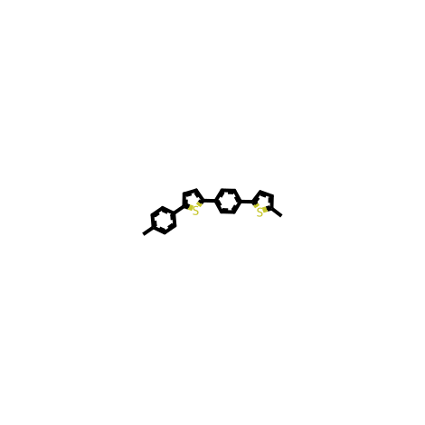 Cc1ccc(-c2ccc(-c3ccc(-c4ccc(C)s4)cc3)s2)cc1